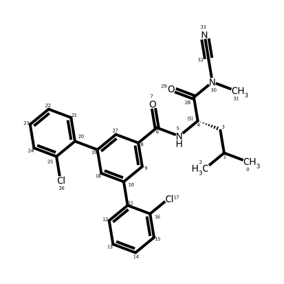 CC(C)C[C@H](NC(=O)c1cc(-c2ccccc2Cl)cc(-c2ccccc2Cl)c1)C(=O)N(C)C#N